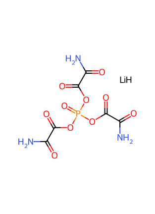 NC(=O)C(=O)OP(=O)(OC(=O)C(N)=O)OC(=O)C(N)=O.[LiH]